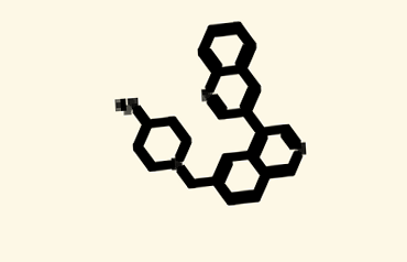 NC1CCN(Cc2ccc3cncc(-c4cnc5ccccc5c4)c3c2)CC1